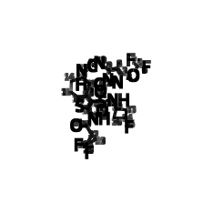 Cn1nc(OC(F)F)cc1N=C=N[C@H]1CCc2sc(NC(=O)C3CC3(F)F)c(S(=O)(=O)N[C@H]3C[C@@H](F)C3)c2C1